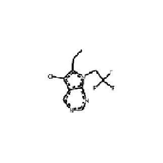 CCc1c(Cl)c2cncnc2n1CC(F)(F)F